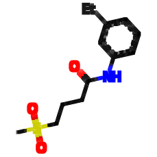 CCc1cccc(NC(=O)CCCS(C)(=O)=O)c1